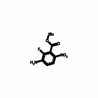 CC(C)(C)OC(=O)c1c([N+](=O)[O-])ccc(N)c1F